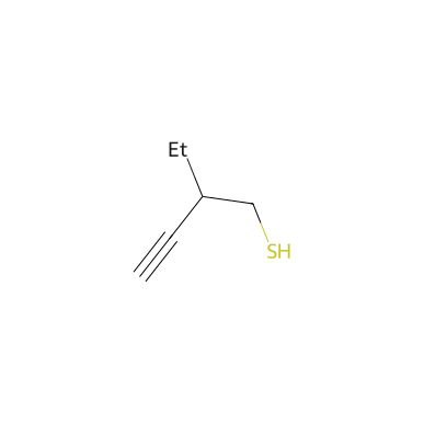 C#CC(CC)CS